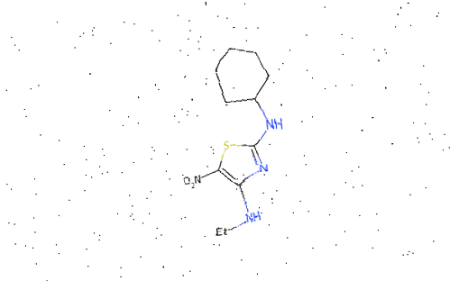 CCNc1nc(NC2CCCCC2)sc1[N+](=O)[O-]